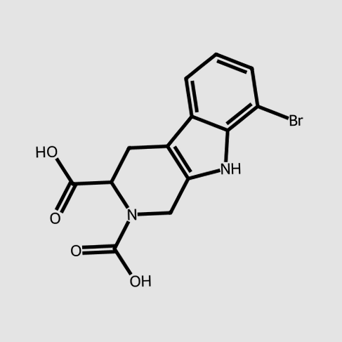 O=C(O)C1Cc2c([nH]c3c(Br)cccc23)CN1C(=O)O